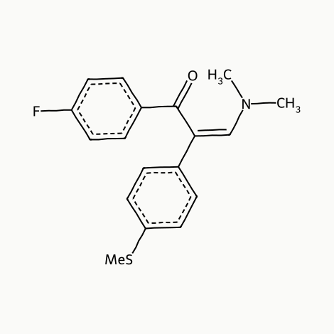 CSc1ccc(C(=CN(C)C)C(=O)c2ccc(F)cc2)cc1